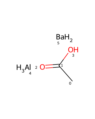 CC(=O)O.[AlH3].[BaH2]